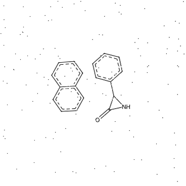 O=C1NC1c1ccccc1.c1ccc2ccccc2c1